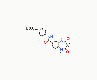 CCOC(=O)c1ccc(NC(=O)c2ccc3c(c2)N(C)C(=O)C(C)(C)C(=O)N3C)cc1